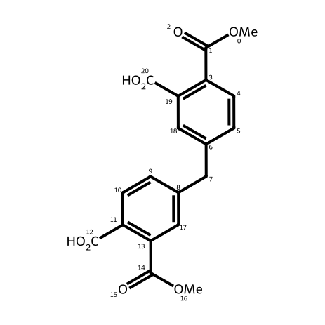 COC(=O)c1ccc(Cc2ccc(C(=O)O)c(C(=O)OC)c2)cc1C(=O)O